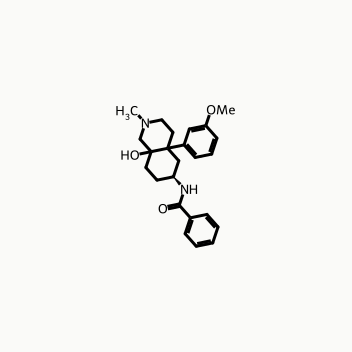 COc1cccc(C23CCN(C)CC2(O)CC[C@H](NC(=O)c2ccccc2)C3)c1